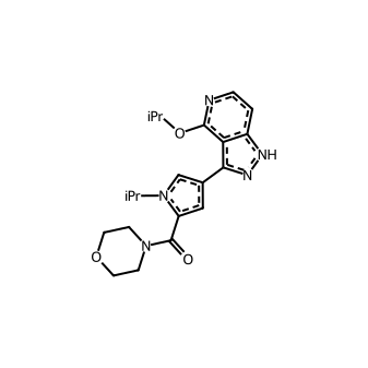 CC(C)Oc1nccc2[nH]nc(-c3cc(C(=O)N4CCOCC4)n(C(C)C)c3)c12